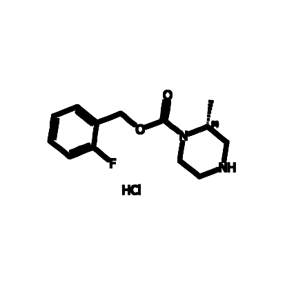 C[C@@H]1CNCCN1C(=O)OCc1ccccc1F.Cl